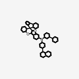 c1ccc(-c2cccc(N(c3ccc(-c4cccc5ccccc45)cc3)c3ccc4c5c(oc4c3)C3(c4ccccc4O5)c4ccccc4-c4ccccc43)c2)cc1